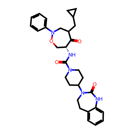 O=C1C(CC2CC2)CN(c2ccccc2)OC[C@H]1NC(=O)N1CCC(N2CCc3ccccc3NC2=O)CC1